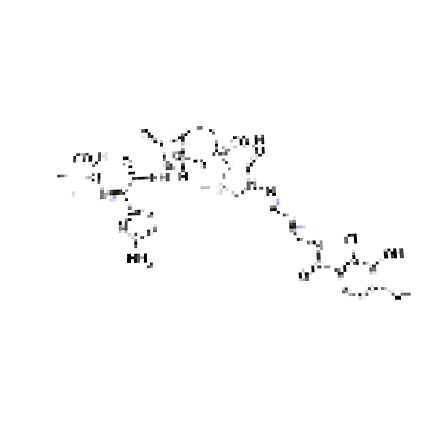 C[C@H]1CN(/N=C/C=N/NC(=O)c2ccc(O)c(O)c2Cl)C(=O)N1[C@]1(C(=O)O)CCN2C(=O)[C@@H](NC(=O)/C(=N\OC(C)(C)C(=O)O)c3csc(N)n3)[C@H]2S1